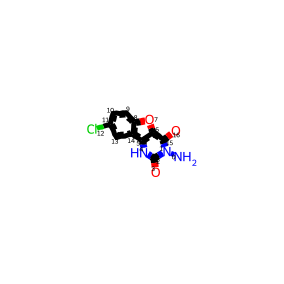 Nn1c(=O)[nH]c2c(oc3ccc(Cl)cc32)c1=O